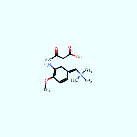 CC(=O)CC(=O)O.COC1=C(N)CC(=C[N+](C)(C)C)C=C1